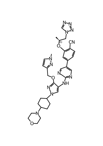 C[C@@H](Cn1cnnn1)Oc1cc(-c2cnc(Nc3cn(C4CCC(N5CCOCC5)CC4)nc3OCc3ccn(C)n3)nc2)ccc1C#N